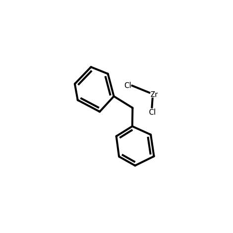 [Cl][Zr][Cl].c1ccc(Cc2ccccc2)cc1